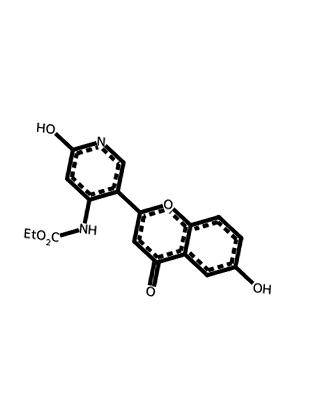 CCOC(=O)Nc1cc(O)ncc1-c1cc(=O)c2cc(O)ccc2o1